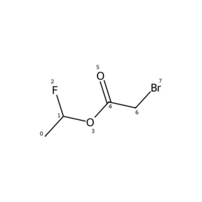 CC(F)OC(=O)CBr